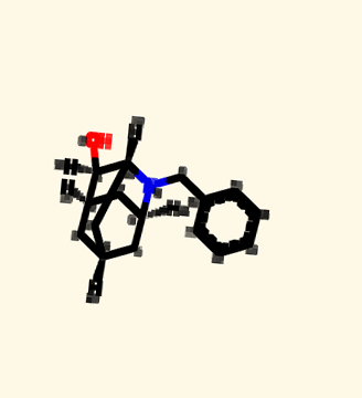 O[C@@H]1[C@@H]2C[C@H]3C[C@@H](C2)N(Cc2ccccc2)[C@@H]1C3